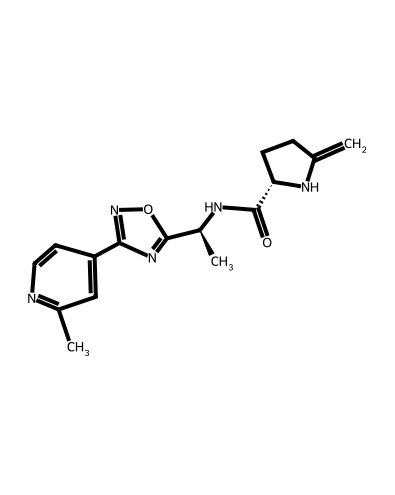 C=C1CC[C@@H](C(=O)N[C@@H](C)c2nc(-c3ccnc(C)c3)no2)N1